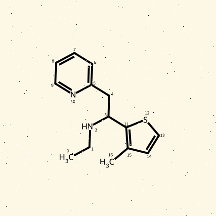 CCNC(Cc1ccccn1)c1sccc1C